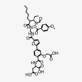 CCCCCC(C(=O)NCNC(=O)c1ccc(-c2ccc(C(=O)NC(CC(=O)O)C(=O)O)c(OCC(=O)O)c2)o1)[C@@H](CC)N(C=O)OC(=O)c1ccc(OC)cc1